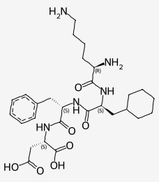 NCCCC[C@@H](N)C(=O)N[C@@H](CC1CCCCC1)C(=O)N[C@@H](Cc1ccccc1)C(=O)N[C@@H](CC(=O)O)C(=O)O